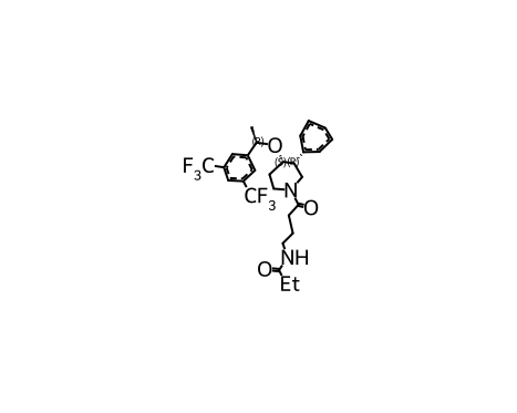 CCC(=O)NCCCC(=O)N1CC[C@H](O[C@H](C)c2cc(C(F)(F)F)cc(C(F)(F)F)c2)[C@H](c2ccccc2)C1